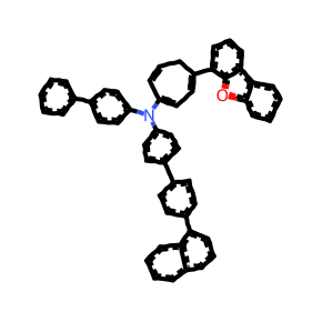 C1=CC(N(c2ccc(-c3ccccc3)cc2)c2ccc(-c3ccc(-c4cccc5ccccc45)cc3)cc2)=CC=C(c2cccc3c2oc2ccccc23)C1